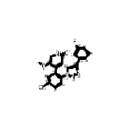 COc1c[nH]c(=O)cc1-c1cc(Cl)ccc1-n1cc(-c2cccc(F)c2)nn1